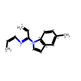 C=C/C(=N\C=C/C)n1ccc2cc(C)ccc21